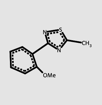 COc1ccccc1-c1nsc(C)n1